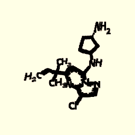 C=CC(C)(C)c1cc(N[C@H]2CC[C@H](N)C2)n2ncc(Cl)c2n1